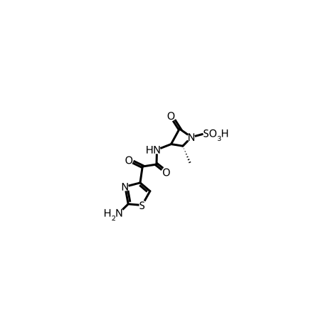 C[C@@H]1C(NC(=O)C(=O)c2csc(N)n2)C(=O)N1S(=O)(=O)O